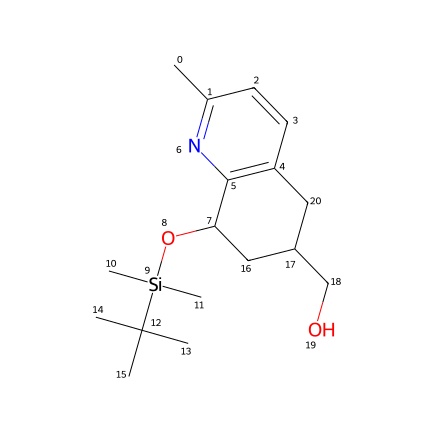 Cc1ccc2c(n1)C(O[Si](C)(C)C(C)(C)C)CC(CO)C2